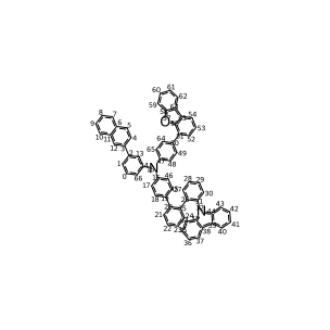 c1cc(-c2ccc3ccccc3c2)cc(N(c2ccc(-c3ccccc3-c3ccccc3-n3c4ccccc4c4ccccc43)cc2)c2ccc(-c3cccc4c3oc3ccccc34)cc2)c1